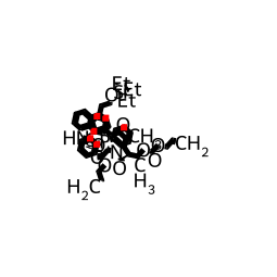 C=CCOC(=O)O[C@H](C)[C@H]1C(=O)N(C(C(=O)OCC=C)=P(c2ccccc2)(c2ccccc2)c2ccccc2)[C@@H]1[C@@H](C)C(=O)Cc1cc(CCO[Si](CC)(CC)CC)c2cccc3c2c1S(=O)(=O)N3